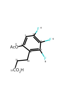 CC(=O)Oc1cc(F)c(F)c(F)c1CCC(=O)O